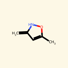 C=C1C=C(C)ON1